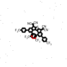 N#CC(C#N)=C1c2cc(-c3ccc(C(F)(F)F)cc3)cc(-c3ccc(C(F)(F)F)cc3)c2-c2c1sc1c2-c2c(cc(-c3ccc(C(F)(F)F)cc3)cc2-c2ccc(C(F)(F)F)cc2)C1=C(C#N)C#N